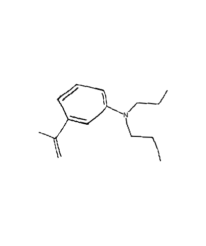 C=C(C)c1cccc(N(CCC)CCC)c1